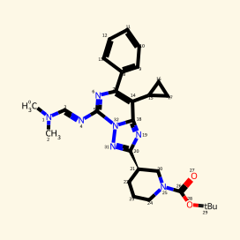 CN(C)/C=N/c1nc(-c2ccccc2)c(C2CC2)c2nc([C@@H]3CCCN(C(=O)OC(C)(C)C)C3)nn12